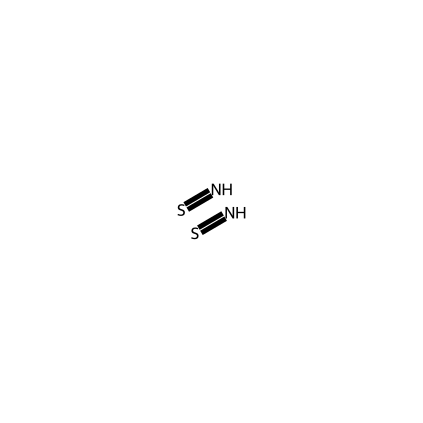 N=S.N=S